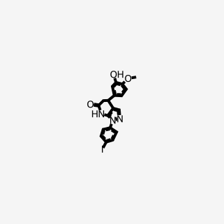 COc1ccc(C2CC(=O)Nc3c2cnn3-c2ccc(I)cc2)cc1O